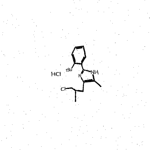 Cc1[nH]c(-c2ccccc2C(C)(C)C)nc1CC(C)CCl.Cl